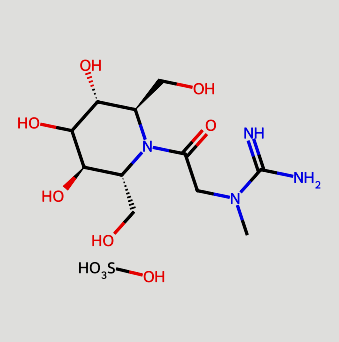 CN(CC(=O)N1[C@H](CO)[C@@H](O)C(O)[C@H](O)[C@H]1CO)C(=N)N.O=S(=O)(O)O